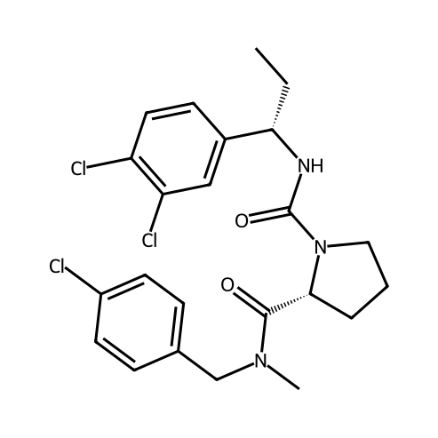 CC[C@H](NC(=O)N1CCC[C@@H]1C(=O)N(C)Cc1ccc(Cl)cc1)c1ccc(Cl)c(Cl)c1